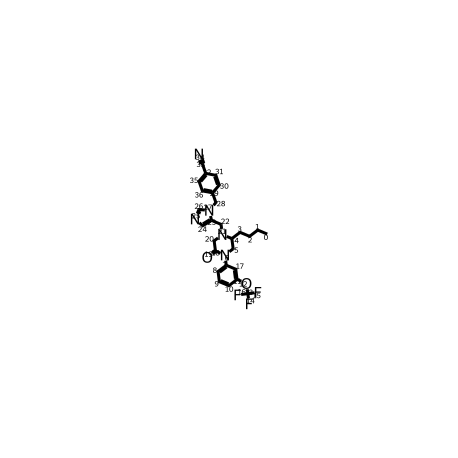 CCCCC1CN(c2cccc(OC(F)(F)F)c2)C(=O)CN1Cc1cncn1Cc1ccc(C#N)cc1